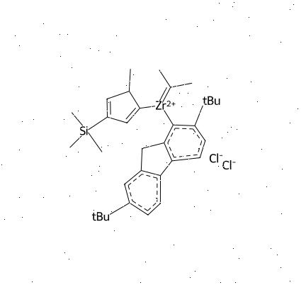 C[C](C)=[Zr+2]([C]1=CC([Si](C)(C)C)=CC1C)[c]1c(C(C)(C)C)ccc2c1Cc1cc(C(C)(C)C)ccc1-2.[Cl-].[Cl-]